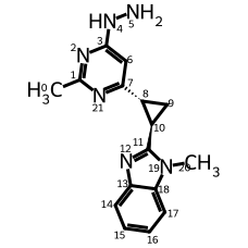 Cc1nc(NN)cc([C@@H]2C[C@H]2c2nc3ccccc3n2C)n1